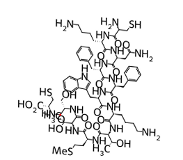 CSCC[C@H](NC(=O)[C@@H](NC(=O)[C@H](CCCCN)NC(=O)[C@@H](Cc1c[nH]c2ccccc12)NC(=O)[C@H](Cc1ccccc1)NC(=O)[C@H](Cc1ccccc1)NC(=O)[C@H](CC(N)=O)NC(=O)[C@H](CCCCN)NC(=O)[C@@H](N)CS)[C@@H](C)O)C(=O)N[C@H](C(=O)N[C@@H](CO)C(=O)N[C@@H](CS)C(=O)O)[C@@H](C)O